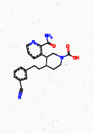 N#Cc1cccc(CCC2CCN(C(=O)O)CC2c2cccnc2C(N)=O)c1